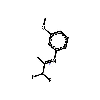 COc1cccc(/N=C(\C)C(F)F)c1